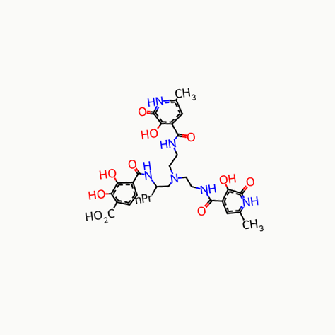 CCCC(CN(CCNC(=O)c1cc(C)[nH]c(=O)c1O)CCNC(=O)c1cc(C)[nH]c(=O)c1O)NC(=O)c1ccc(C(=O)O)c(O)c1O